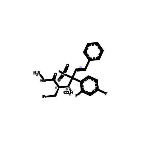 CC(C)C[C@@H](C(=O)NN)[C@@H](C(=O)O)C(/C=C/c1ccccc1)(c1ccc(F)cc1F)S(C)(=O)=O